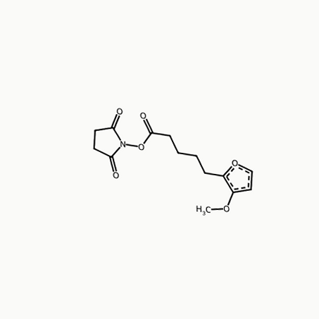 COc1ccoc1CCCCC(=O)ON1C(=O)CCC1=O